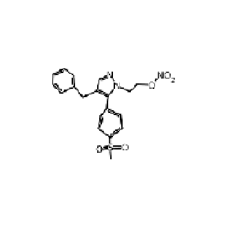 CS(=O)(=O)c1ccc(-c2c(Cc3ccccc3)cnn2CCO[N+](=O)[O-])cc1